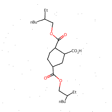 CCCCC(CC)COC(=O)C1CCC(C(=O)OCC(CC)CCCC)C(C(=O)O)C1